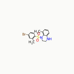 Cc1cc(Br)ccc1S(=O)(=O)N1CCNc2cccc(C)c21